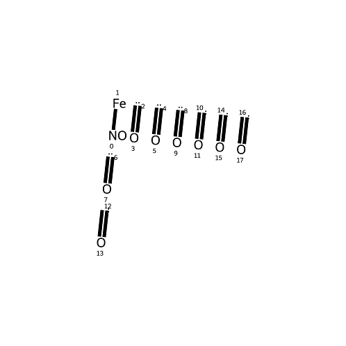 O=[N][Fe].[C]=O.[C]=O.[C]=O.[C]=O.[C]=O.[C]=O.[C]=O.[C]=O